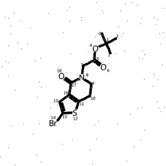 CC(C)(C)OC(=O)CN1CCc2sc(Br)cc2C1=O